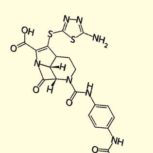 NC(=O)Nc1ccc(NC(=O)N2CCC3C(Sc4nnc(N)s4)=C(C(=O)O)N4C(=O)[C@@H]2[C@@H]34)cc1